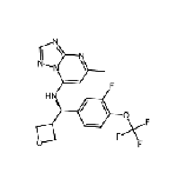 Cc1cc(N[C@@H](c2ccc(OC(F)(F)F)c(F)c2)C2COC2)n2ncnc2n1